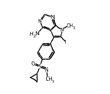 CN=S(=O)(c1ccc(-c2c(I)n(C)c3ncnc(N)c23)cc1)C1CC1